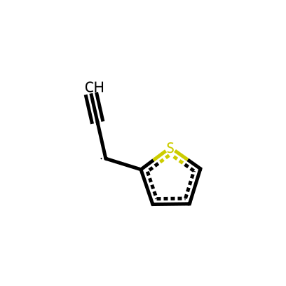 C#C[CH]c1cccs1